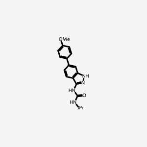 COc1ccc(-c2ccc3c(NC(=O)NC(C)C)n[nH]c3c2)cc1